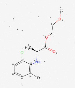 CCOCCOC(=O)[C@H](C)Nc1c(Cl)cccc1CC